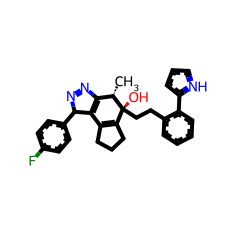 C[C@H]1C2=C(C3=C(CCC3)[C@@]1(O)CCc1ccccc1-c1ccc[nH]1)C(c1ccc(F)cc1)N=N2